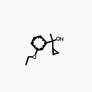 CCOc1cccc(C(C)(O)C2CC2)c1